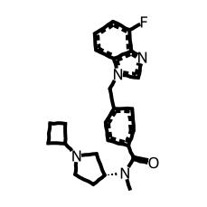 CN(C(=O)c1ccc(Cn2cnc3c(F)cccc32)cc1)[C@@H]1CCN(C2CCC2)C1